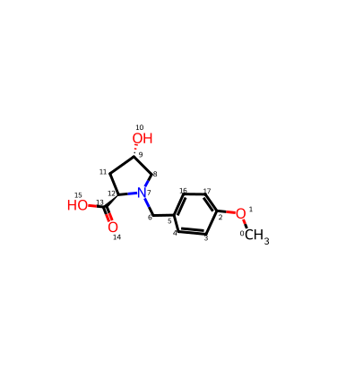 COc1ccc(CN2C[C@@H](O)C[C@@H]2C(=O)O)cc1